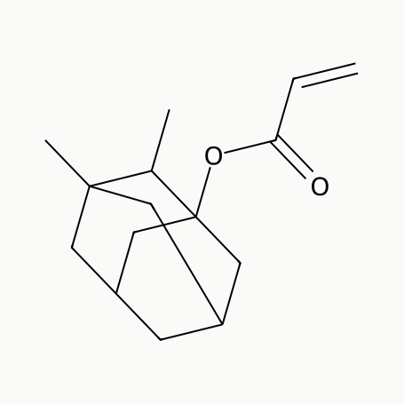 C=CC(=O)OC12CC3CC(CC(C)(C3)C1C)C2